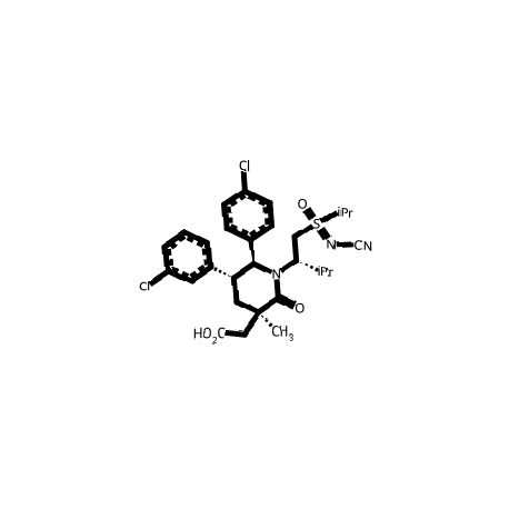 CC(C)[C@@H](CS(=O)(=NC#N)C(C)C)N1C(=O)[C@@](C)(CC(=O)O)C[C@H](c2cccc(Cl)c2)[C@H]1c1ccc(Cl)cc1